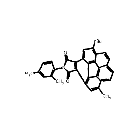 CCCCc1cc2c3c(=O)n(-c4ccc(C)cc4C)c(=O)c3c3cc(C)c4ccc5ccc1c1c5c4c3c21